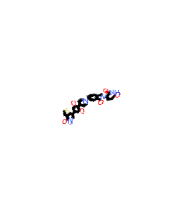 COc1cc(-c2cn(C)c(=O)c3ccsc23)cc(OC)c1C1CCN(c2ccc3c(c2)C(=O)N(C2CCC(=O)NC2=O)C3)CC1